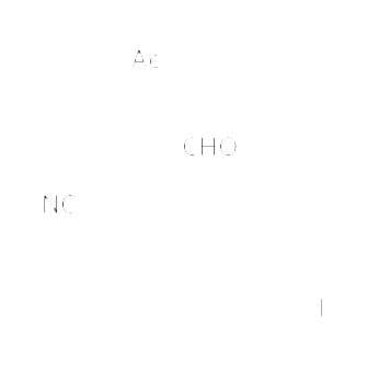 CC(=O)C[C@@](C#N)(C=O)C/C=C/I